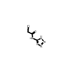 O=C(CCl)Nc1nnn[nH]1